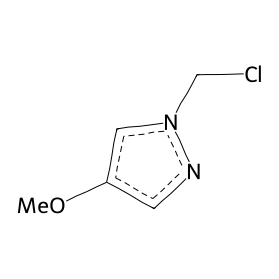 COc1cnn(CCl)c1